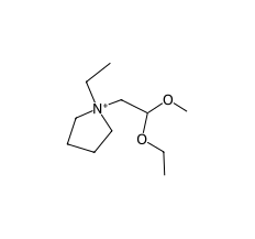 CCOC(C[N+]1(CC)CCCC1)OC